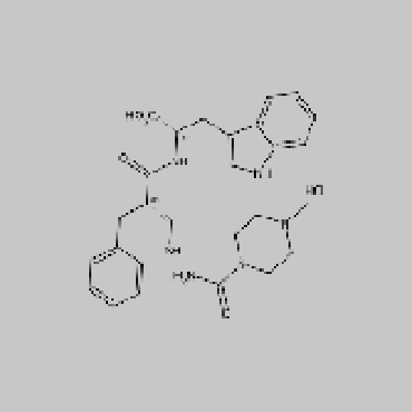 CN1CCN(C(N)=O)CC1.Cl.O=C(N[C@@H](Cc1c[nH]c2ccccc12)C(=O)O)[C@H](CS)Cc1ccccc1